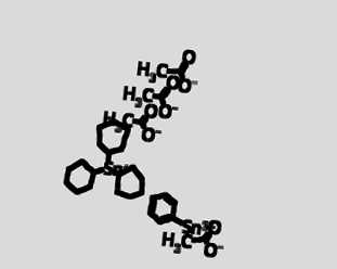 C1CC[CH]([Sn+]([CH]2CCCCC2)[CH]2CCCCC2)CC1.CC(=O)[O-].CC(=O)[O-].CC(=O)[O-].CC(=O)[O-].[Sn+3][c]1ccccc1